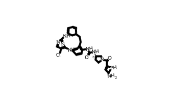 NC1C=C(C(=O)N2CC[C@H](NC(=O)Nc3ccc4cc3CCC3C=CC=C(C3)Nc3ncc(Cl)c(n3)N4)C2)P1